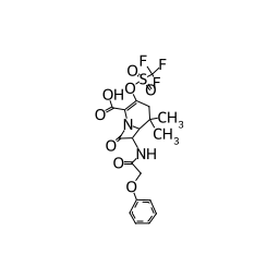 CC1(C)CC(OS(=O)(=O)C(F)(F)F)=C(C(=O)O)N2C(=O)C(NC(=O)COc3ccccc3)C21